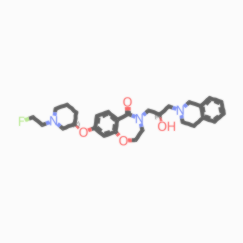 O=C1c2ccc(O[C@@H]3CCCN(CCF)C3)cc2OCCN1C[C@H](O)CN1CCc2ccccc2C1